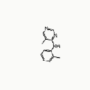 Cc1ccccc1Nc1ncncc1C